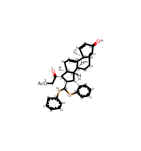 CC(=O)OCC(=O)[C@H]1[C@H](C(Sc2ccccc2)Sc2ccccc2)C[C@H]2[C@@H]3CCC4=CC(=O)C=C[C@]4(C)C3=CC[C@@]21C